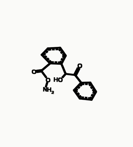 NOC(=O)c1ccccc1C(O)C(=O)c1ccccc1